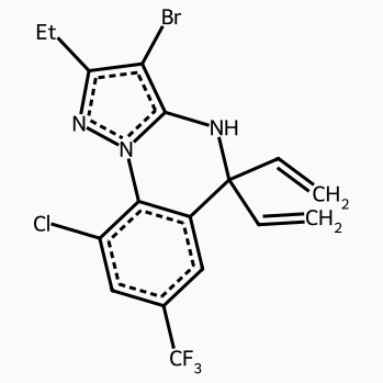 C=CC1(C=C)Nc2c(Br)c(CC)nn2-c2c(Cl)cc(C(F)(F)F)cc21